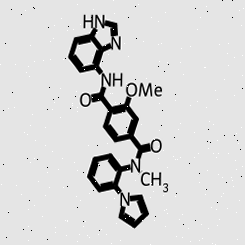 COc1cc(C(=O)N(C)c2ccccc2-n2cccc2)ccc1C(=O)Nc1cccc2[nH]cnc12